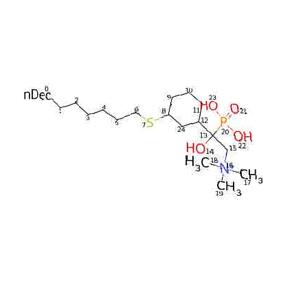 CCCCCCCCCCCCCCCCSC1CCCC(C(O)(C[N+](C)(C)C)P(=O)(O)O)C1